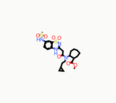 COC(=O)C1CCCCCC1N(CCC1CC1)C(=O)CC1=NS(=O)(=O)c2cc(NS(C)(=O)=O)ccc2N1